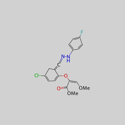 COC=C(OC1=CC=C(Cl)CC1=C=NNc1ccc(F)cc1)C(=O)OC